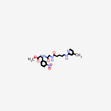 COC(=O)CC(NC(=O)CNC(=O)CCCCNc1cc(C)ccn1)c1cccc([N+](=O)[O-])c1